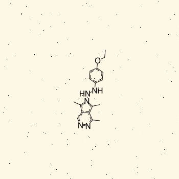 CCOc1ccc(NNn2c(C)c3cnnc(C)c3c2C)cc1